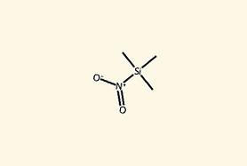 C[Si](C)(C)[N+](=O)[O-]